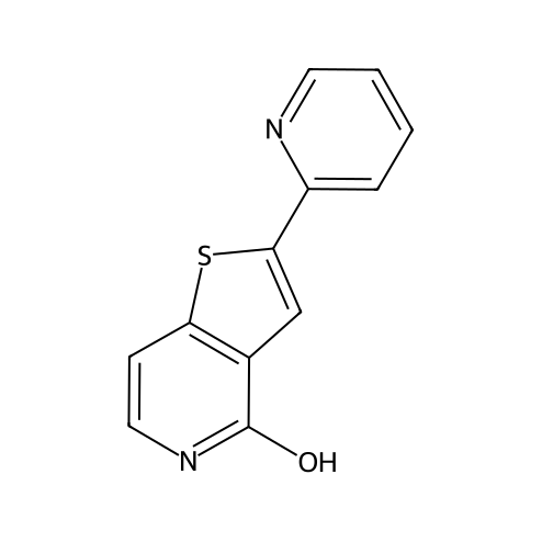 Oc1nccc2sc(-c3ccccn3)cc12